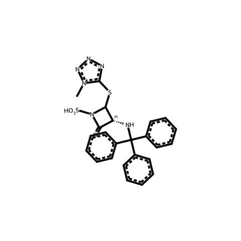 Cn1nnnc1SC1[C@H](NC(c2ccccc2)(c2ccccc2)c2ccccc2)C(=O)N1S(=O)(=O)O